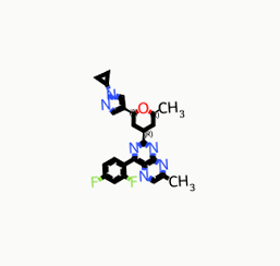 Cc1cnc2c(-c3ccc(F)cc3F)nc([C@@H]3C[C@@H](C)O[C@H](c4cnn(C5CC5)c4)C3)nc2n1